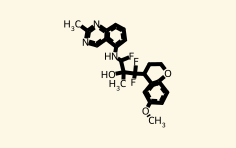 COc1ccc2c(c1)C(C(F)(F)C(C)(O)C(F)Nc1cccc3nc(C)ncc13)CCO2